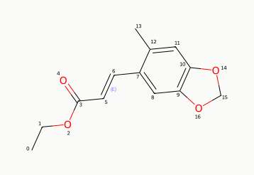 CCOC(=O)/C=C/c1cc2c(cc1C)OCO2